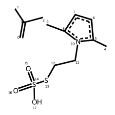 C=C(C)C.Cc1ccc(C)n1CCSS(=O)(=O)O